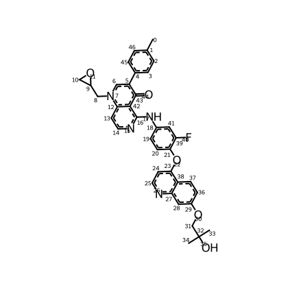 Cc1ccc(-c2cn(CC3CO3)c3ccnc(Nc4ccc(Oc5ccnc6cc(OCC(C)(C)O)ccc56)c(F)c4)c3c2=O)cc1